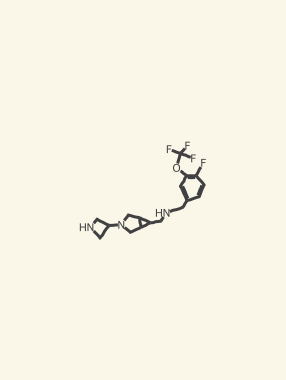 Fc1ccc(CNCC2C3CN(C4CNC4)CC23)cc1OC(F)(F)F